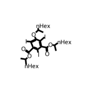 CCCCCCC(C)OC(=O)c1c(I)c(OC(C)CCCCCC)c(I)c(C(=O)OC(C)CCCCCC)c1I